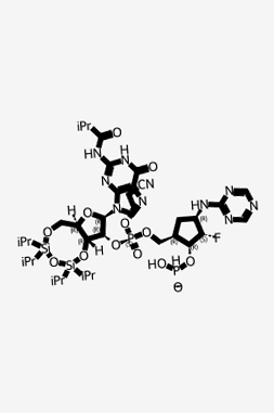 CC(C)C(=O)Nc1nc2c(ncn2[C@@H]2O[C@@H]3CO[Si](C(C)C)(C(C)C)O[Si](C(C)C)(C(C)C)O[C@H]3[C@H]2O[P@@](=O)(OCCC#N)OC[C@H]2C[C@@H](Nc3ncncn3)[C@H](F)[C@@H]2O[PH](=O)O)c(=O)[nH]1